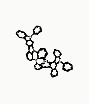 c1ccc(-n2c3ccccc3c3cc4c5cccc6c5n(c4cc32)-c2cccc3c2B6c2cccc4c5c6ccccc6c6c(c7ccccc7n6-c6ccccc6)c5n-3c24)cc1